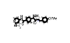 COc1ccc(/C=C/C(=O)C(N)c2ccc(C(=O)Nc3ccnc(N)c3)cc2)cc1